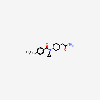 COc1ccc(C(=O)N(C2CC2)[C@H]2CC[C@H](CC(N)=O)CC2)cc1